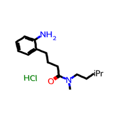 CC(C)CCN(C)C(=O)CCCc1ccccc1N.Cl